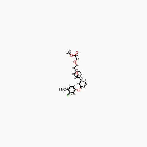 Cc1ccc(Oc2cccc(C34CCC(CCOCC(=O)OC(C)(C)C)(CC3)OC4)c2)cc1F